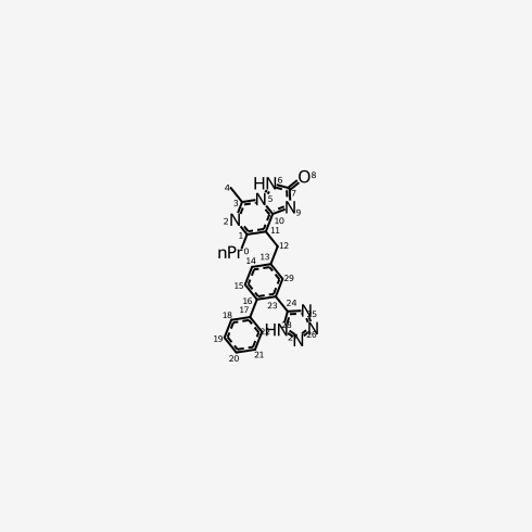 CCCc1nc(C)n2[nH]c(=O)nc2c1Cc1ccc(-c2ccccc2)c(-c2nnn[nH]2)c1